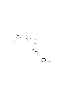 CCC(=O)Nc1cc(Cl)cc(COc2c(Cl)cc(CC(=O)OC(=O)CNC(=O)c3cc(Cl)c(OCc4cc(Cl)cc(NC(=O)CC)c4F)c(Cl)c3)cc2Cl)c1F